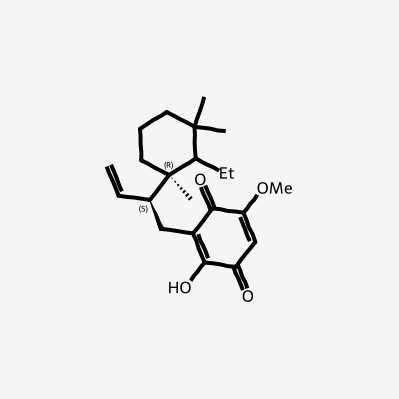 C=C[C@H](CC1=C(O)C(=O)C=C(OC)C1=O)[C@@]1(C)CCCC(C)(C)C1CC